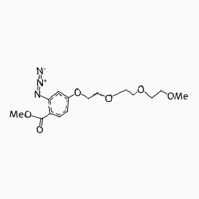 COCCOCCOCCOc1ccc(C(=O)OC)c(N=[N+]=[N-])c1